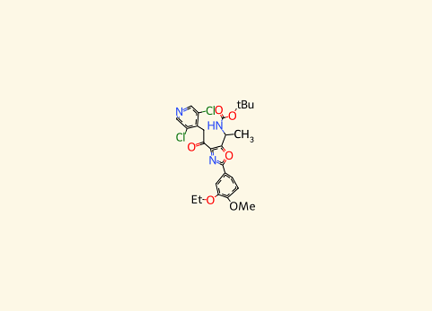 CCOc1cc(-c2nc(C(=O)Cc3c(Cl)cncc3Cl)c(C(C)NC(=O)OC(C)(C)C)o2)ccc1OC